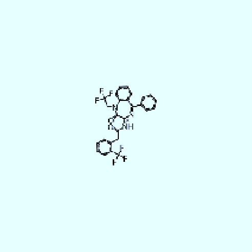 O=C(Cc1ccccc1C(F)(F)F)N[C@@H]1N=C(c2ccccc2)c2ccccc2N(CC(F)(F)F)C1=O